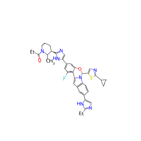 CCC(=O)N1CCC[C@@H](c2ncc(-c3cc(F)c4c(c3)OC(c3cnc(C5CC5)s3)n3c-4cc4cc(-c5cnc(CC)[nH]5)ccc43)[nH]2)C1C